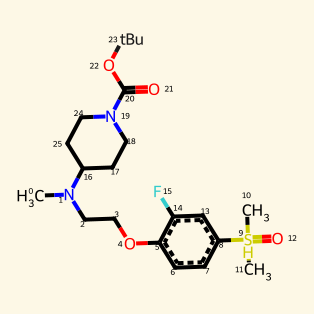 CN(CCOc1ccc([SH](C)(C)=O)cc1F)C1CCN(C(=O)OC(C)(C)C)CC1